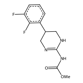 COC(=O)NC1=NCC(c2cccc(F)c2F)CN1